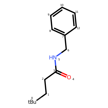 CC(C)(C)CCC(=O)NCc1ccccc1